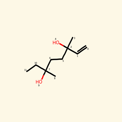 C=CC(C)(O)CCC(C)(O)CC